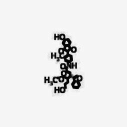 CCOC1OC(C(=O)Nc2ccc(C3C(=O)c4ccc(O)cc4C3=O)c(C)c2)=C[C@H](c2coc3ccccc23)C1CCCO